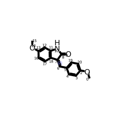 COc1ccc(/C=C2\C(=O)Nc3cc(OC)ccc32)cc1